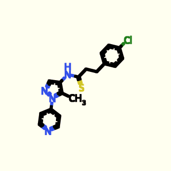 Cc1c(NC(=S)CCc2ccc(Cl)cc2)cnn1-c1ccncc1